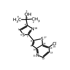 CC(C)(O)c1csc(-c2cc3nccc(Cl)c3s2)n1